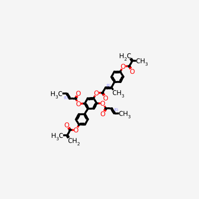 C=C(C)C(=O)Oc1ccc(/C(C)=C/C(=O)Oc2cc(OC(=O)/C=C/C)c(-c3ccc(OC(=O)C(=C)C)cc3)cc2OC(=O)/C=C/C)cc1